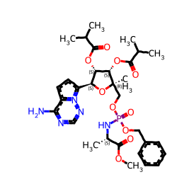 COC(=O)[C@H](C)NP(=O)(OCc1ccccc1)OC[C@@]1(C)O[C@@H](c2ccc3c(N)ncnn23)[C@H](OC(=O)C(C)C)[C@@H]1OC(=O)C(C)C